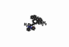 C=C/C(=C\C=C\c1cccc(-c2cccc3ccccc23)c2c(c(C(=C)c3ccccc3C=C)cc1)=CCCC=2)c1nc2ccccc2n1-c1ccccc1